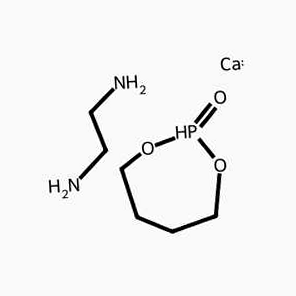 NCCN.O=[PH]1OCCCCO1.[Ca]